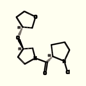 O=C([C@@H]1CCCN1Cl)N1CC[C@@H](O[C@@H]2CCOC2)C1